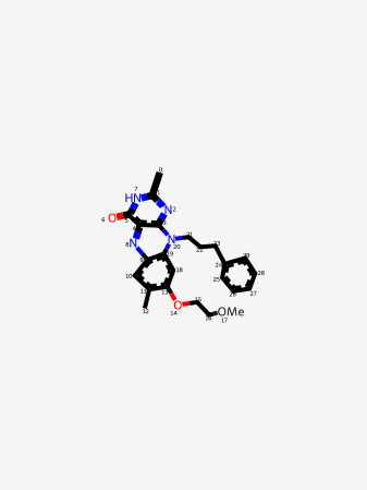 C=c1nc2c(c(=O)[nH]1)=Nc1cc(C)c(OCCOC)cc1N2CCCc1ccccc1